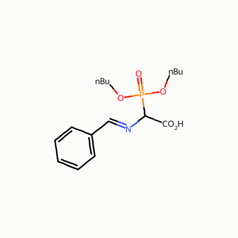 CCCCOP(=O)(OCCCC)C(N=Cc1ccccc1)C(=O)O